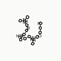 O[PH](c1ccccc1)(c1ccc(-c2ccc(Oc3ccc(-c4nc(-c5ccccc5)nc(-c5ccccc5)n4)cc3)cc2)cc1)c1cccc(-c2cccc(-c3nc(-c4ccccc4)nc(-c4ccc(Oc5ccc(-c6ccc(-c7ccccn7)cc6)cc5)cc4)n3)c2)c1